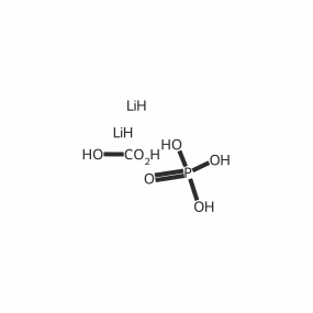 O=C(O)O.O=P(O)(O)O.[LiH].[LiH]